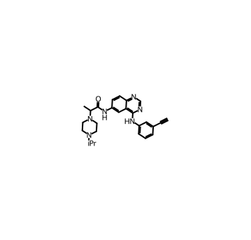 C#Cc1cccc(Nc2ncnc3ccc(NC(=O)C(C)N4CCN(C(C)C)CC4)cc23)c1